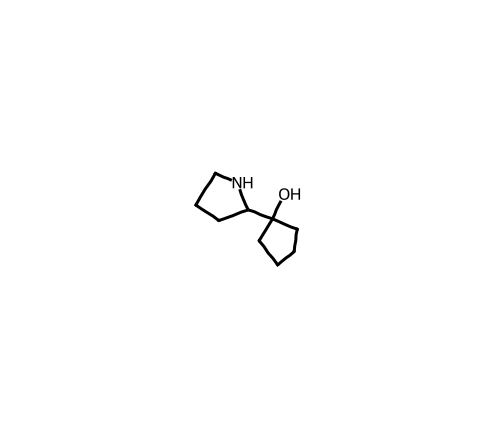 OC1(C2CCCN2)CCCC1